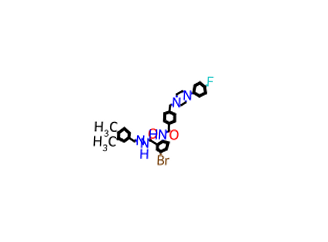 Cc1ccc(/C=N/NC(=O)c2cc(Br)ccc2NC(=O)c2ccc(CN3CCN(c4ccc(F)cc4)CC3)cc2)cc1C